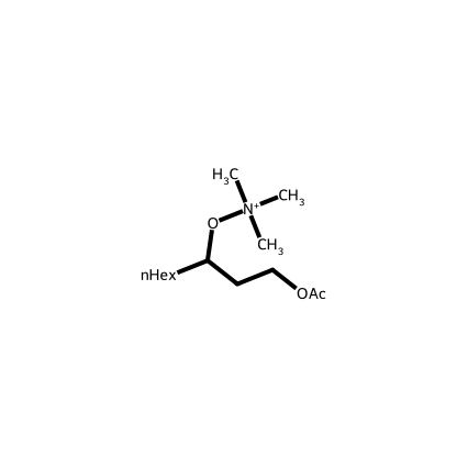 CCCCCCC(CCOC(C)=O)O[N+](C)(C)C